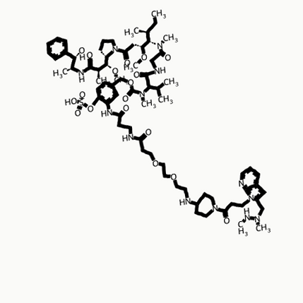 CC[C@H](C)[C@@H]([C@@H](CC(=O)N1CCC[C@H]1[C@H](OC)[C@@H](C)C(=O)N[C@H](C)[C@@H](O)c1ccccc1)OC)N(C)C(=O)CNC(=O)C(C(C)C)N(C)C(=O)OCc1ccc(OS(=O)(=O)O)c(NC(=O)CCNC(=O)CCOCCOCCNC2CCN(C(=O)CCn3c(CN(C)NC)cc4cccnc43)CC2)c1